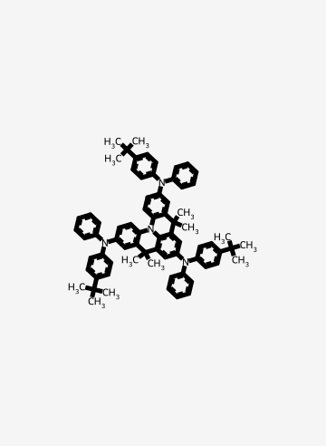 CC(C)(C)c1ccc(N(c2ccccc2)c2ccc3c(c2)C(C)(C)c2cc(N(c4ccccc4)c4ccc(C(C)(C)C)cc4)cc4c2N3c2ccc(N(c3ccccc3)c3ccc(C(C)(C)C)cc3)cc2C4(C)C)cc1